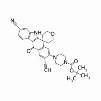 C#Cc1cc2c(cc1N1CCN(C(=O)OC(C)(C)C)CC1)C1(CCOCC1)c1[nH]c3cc(C#N)ccc3c1C2=O